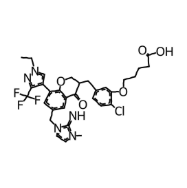 CCn1cc(-c2cc(Cn3ccn(C)c3=N)cc3c2OCC(Cc2ccc(Cl)c(OCCCCC(=O)O)c2)C3=O)c(C(F)(F)F)n1